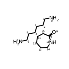 NCCCCCCN.O=C1CCCCCN1